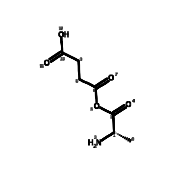 C[C@H](N)C(=O)OC(=O)CCC(=O)O